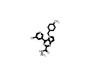 CC1CCC(Cn2ccc3nc(C(=O)NN)nc(-c4cncc(Cl)c4)c32)CC1